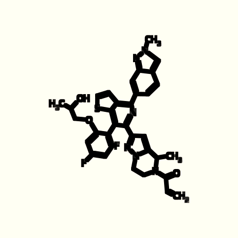 C=CC(=O)N1CCn2nc(-c3nc(-c4ccc5cn(C)nc5c4)c4ccsc4c3-c3c(F)cc(F)cc3OCC(C)O)cc2C1C